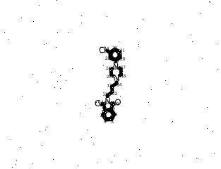 O=C1c2ccccc2C(=O)N1CCCCN1CCN(c2cccc(Cl)c2)CC1